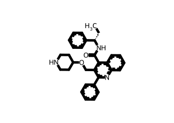 CC[C@H](NC(=O)c1c(COC2CCNCC2)c(-c2ccccc2)nc2ccccc12)c1ccccc1